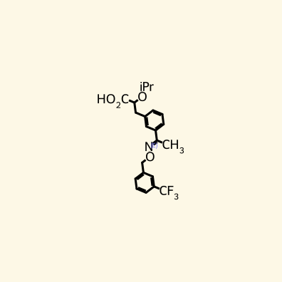 C/C(=N\OCc1cccc(C(F)(F)F)c1)c1cccc(CC(OC(C)C)C(=O)O)c1